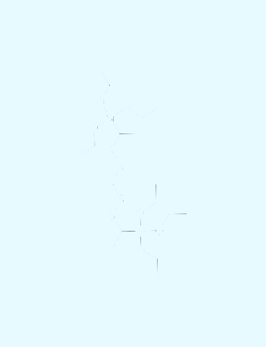 CCO[Si](OCC)(OCC)C(C)SSSSSC(C)[Si](OCC)(OCC)OCC